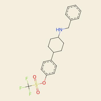 O=S(=O)(Oc1ccc(C2CCC(NCc3ccccc3)CC2)cc1)C(F)(F)F